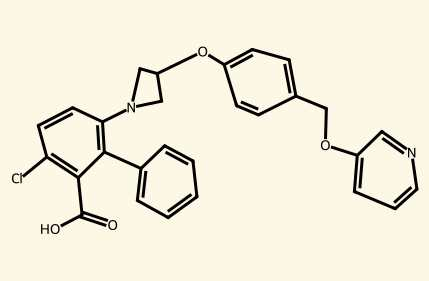 O=C(O)c1c(Cl)ccc(N2CC(Oc3ccc(COc4cccnc4)cc3)C2)c1-c1ccccc1